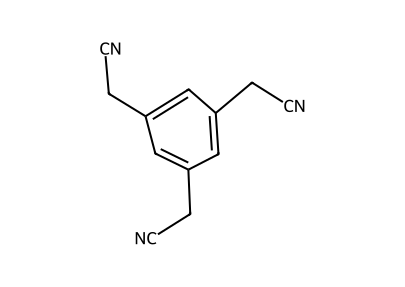 N#CCc1cc(CC#N)cc(CC#N)c1